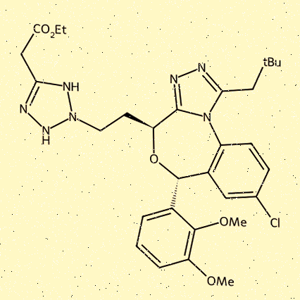 CCOC(=O)CC1=NNN(CC[C@@H]2O[C@@H](c3cccc(OC)c3OC)c3cc(Cl)ccc3-n3c(CC(C)(C)C)nnc32)N1